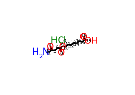 Cl.NCC(=O)CCC(=O)OCCCCCCCC(=O)O